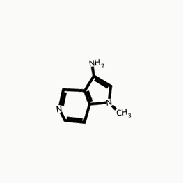 Cn1cc(N)c2cnccc21